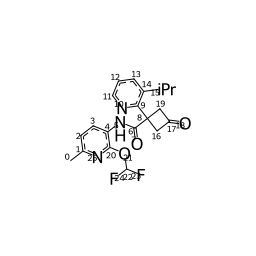 Cc1ccc(NC(=O)C2(c3ncccc3C(C)C)CC(=O)C2)c(OC(F)F)n1